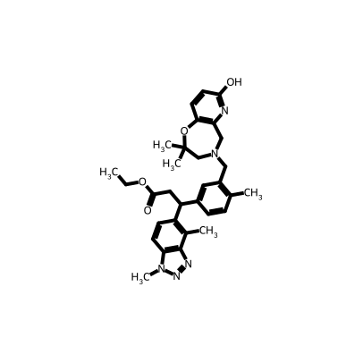 CCOC(=O)CC(c1ccc(C)c(CN2Cc3nc(O)ccc3OC(C)(C)C2)c1)c1ccc2c(nnn2C)c1C